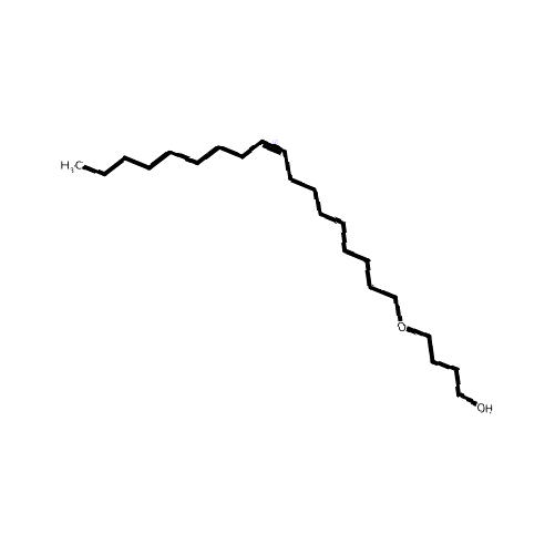 CCCCCCCC/C=C\CCCCCCCCOCCCCO